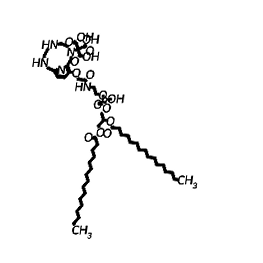 CCCCCCCCCCCCCCCC(=O)OCC(COP(=O)(O)OCCNC(=O)COc1ccc2nc1CN(C(C(=O)O)(C(=O)O)C(=O)O)CCNCCNC2)OC(=O)CCCCCCCCCCCCCCC